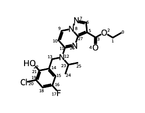 CCOC(=O)c1cnn2ccc(N(Cc3cc(F)cc(Cl)c3O)C(C)C)nc12